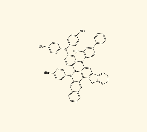 Cc1cc(-c2ccccc2)ccc1N1c2cc(N(c3ccc(C(C)(C)C)cc3)c3ccc(C(C)(C)C)cc3)ccc2B2c3c1cc1c(sc4ccccc41)c3-c1cc3ccccc3cc1N2c1ccc(C(C)(C)C)cc1